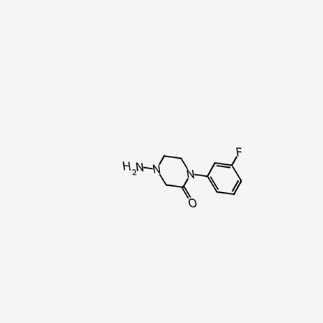 NN1CCN(c2cccc(F)c2)C(=O)C1